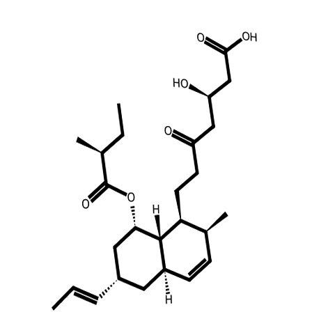 C/C=C/[C@@H]1C[C@H](OC(=O)[C@@H](C)CC)[C@@H]2[C@@H](CCC(=O)C[C@@H](O)CC(=O)O)[C@@H](C)C=C[C@H]2C1